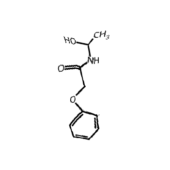 CC(O)NC(=O)COc1[c]cccc1